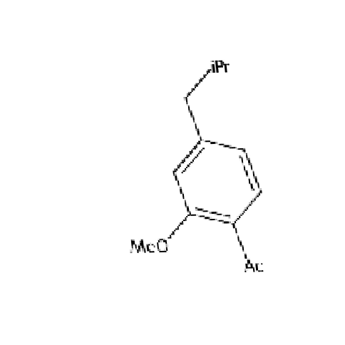 COc1cc(CC(C)C)ccc1C(C)=O